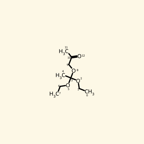 CCOC(C)(OCC)OCC(C)=O